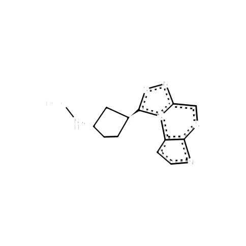 O=C(O)N[C@H]1CC[C@H](c2nnc3cnc4[nH]ccc4n23)C1